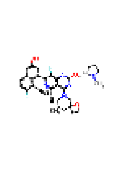 C#Cc1c(F)ccc2cc(O)cc(-c3nc(C#CC)c4c(N5CCCC6(CCO6)C5)nc(OC[C@@H]5CCCN5C)nc4c3F)c12